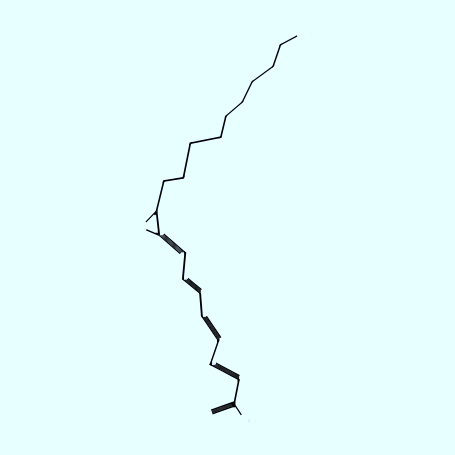 CCCCCCCCCCC1O\C1=C/C=C/C=C/C=C/C(=O)O